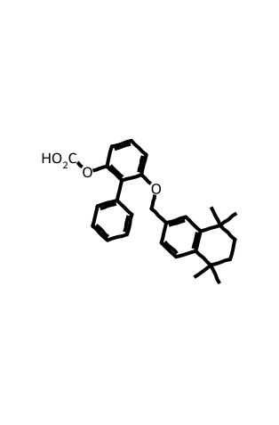 CC1(C)CCC(C)(C)c2cc(COc3cccc(OC(=O)O)c3-c3ccccc3)ccc21